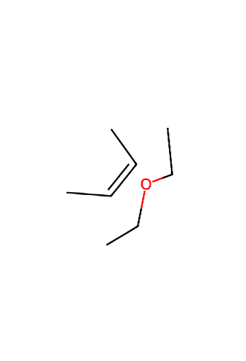 C/C=C\C.CCOCC